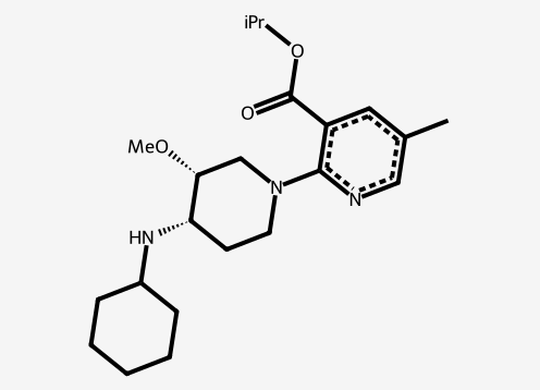 CO[C@@H]1CN(c2ncc(C)cc2C(=O)OC(C)C)CC[C@@H]1NC1CCCCC1